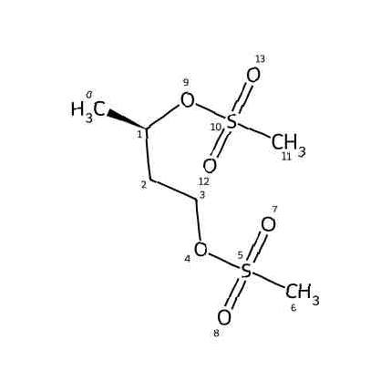 C[C@H](CCOS(C)(=O)=O)OS(C)(=O)=O